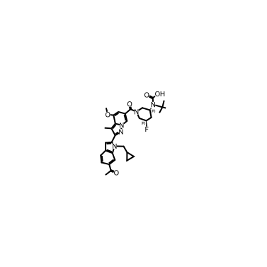 COc1cc(C(=O)N2C[C@H](F)C[C@@H](N(C(=O)O)C(C)(C)C)C2)cn2nc(-c3cc4ccc(C(C)=O)cc4n3CC3CC3)c(C)c12